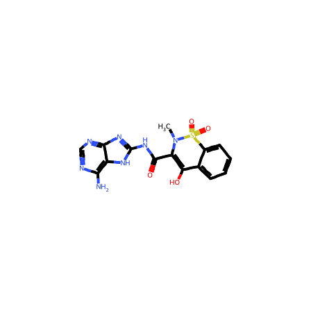 CN1C(C(=O)Nc2nc3ncnc(N)c3[nH]2)=C(O)c2ccccc2S1(=O)=O